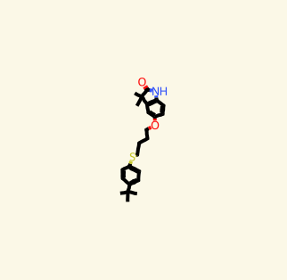 CC(C)(C)c1ccc(SCCCCOc2ccc3c(c2)C(C)(C)C(=O)N3)cc1